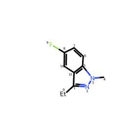 CCc1nn(C)c2ccc(F)cc12